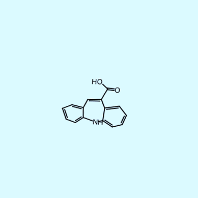 O=C(O)C1=Cc2ccccc2Nc2ccccc21